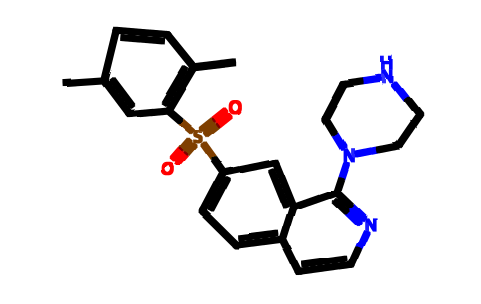 Cc1ccc(C)c(S(=O)(=O)c2ccc3ccnc(N4CCNCC4)c3c2)c1